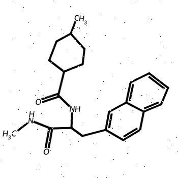 CNC(=O)C(Cc1ccc2ccccc2c1)NC(=O)C1CCC(C)CC1